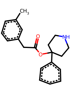 Cc1cccc(CC(=O)OC2(c3ccccc3)CCNCC2)c1